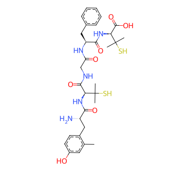 Cc1cc(O)ccc1C[C@H](N)C(=O)N[C@@H](C(=O)NCC(=O)N[C@@H](Cc1ccccc1)C(=O)N[C@@H](C(=O)O)C(C)(C)S)C(C)(C)S